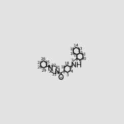 O=C(c1ccc(NCc2cccc3ccccc23)cc1)N1CCN(c2ccccc2)CC1